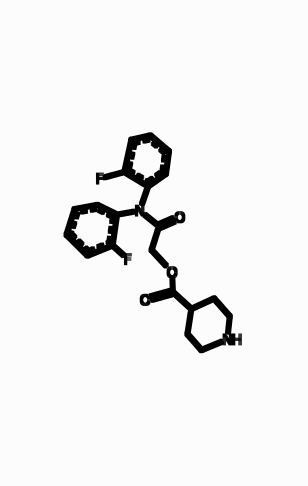 O=C(OCC(=O)N(c1ccccc1F)c1ccccc1F)C1CCNCC1